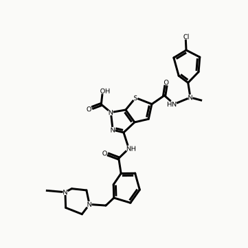 CN1CCN(Cc2cccc(C(=O)Nc3nn(C(=O)O)c4sc(C(=O)NN(C)c5ccc(Cl)cc5)cc34)c2)CC1